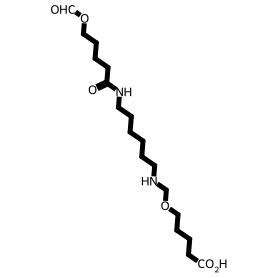 O=COCCCCC(=O)NCCCCCCNCOCCCCC(=O)O